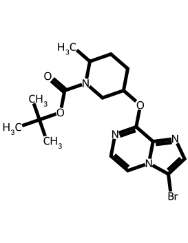 CC1CCC(Oc2nccn3c(Br)cnc23)CN1C(=O)OC(C)(C)C